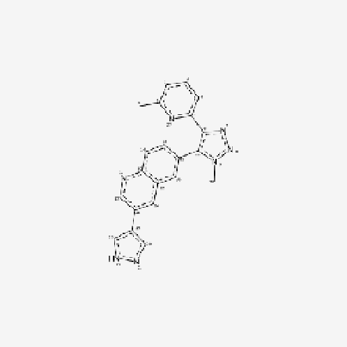 Cc1cccc(-c2nnn(C)c2-c2ccc3ncc(-c4cn[nH]c4)cc3c2)n1